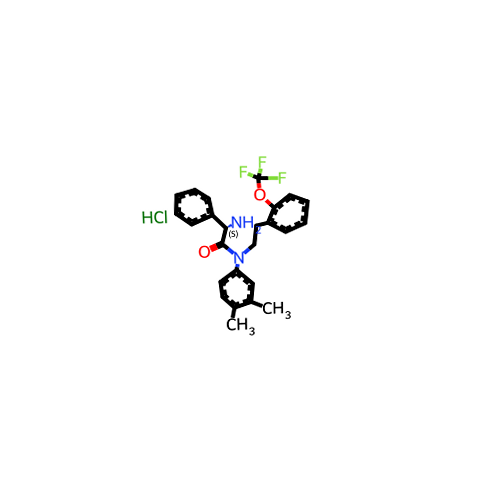 Cc1ccc(N(CCc2ccccc2OC(F)(F)F)C(=O)[C@@H](N)c2ccccc2)cc1C.Cl